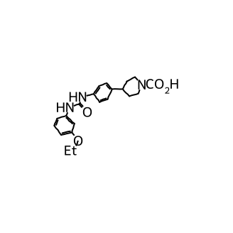 CCOc1cccc(NC(=O)Nc2ccc(C3CCN(C(=O)O)CC3)cc2)c1